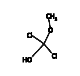 COC(O)(Cl)Cl